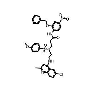 COc1ccc(S(=O)(=O)N(CCNc2cc(C)nc3ccc(Cl)cc23)CCC(=O)Nc2ccc([N+](=O)[O-])cc2OCc2ccccc2)cc1